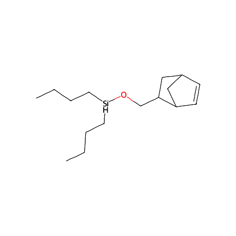 CCCC[SiH](CCCC)OCC1CC2C=CC1C2